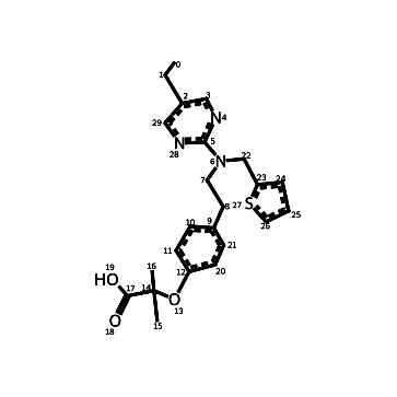 CCc1cnc(N(CCc2ccc(OC(C)(C)C(=O)O)cc2)Cc2cccs2)nc1